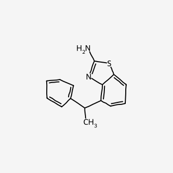 CC(c1ccccc1)c1cccc2sc(N)nc12